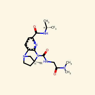 C[C@@H](NC(=O)c1ccc2c(n1)N(C(=O)NCC(=O)N(C)C)[C@H]1CCN2C1)C(F)(F)F